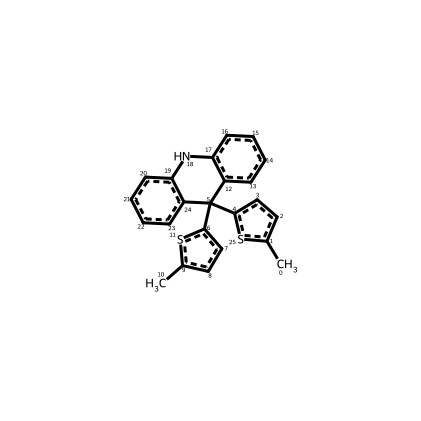 Cc1ccc(C2(c3ccc(C)s3)c3ccccc3Nc3ccccc32)s1